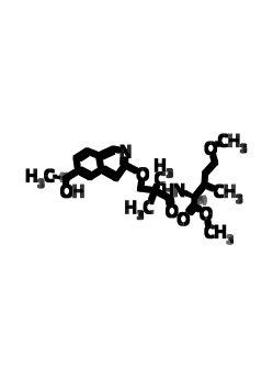 COCCC(C)[C@H](NC(=O)C(C)(C)COc1cc2cc([C@@H](C)O)ccc2cn1)C(=O)OC